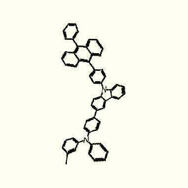 Cc1cccc(N(c2ccccc2)c2ccc(-c3ccc4c(c3)c3ccccc3n4-c3ccc(-c4c5ccccc5c(-c5ccccc5)c5ccccc45)cc3)cc2)c1